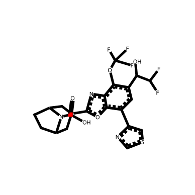 O=C(O)N1C2CCC1CN(c1nc3c(OC(F)(F)F)c(C(O)C(F)F)cc(-c4cscn4)c3o1)C2